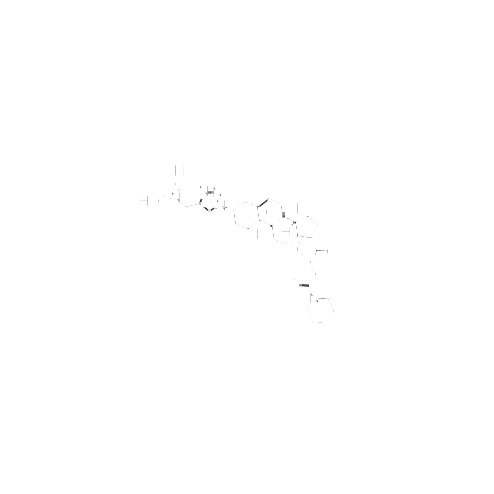 CC(CCC(=O)N1CCOCC1)[C@H]1CC[C@H]2[C@@H]3CC=C4C[C@H](n5cc(CN(C)C)nn5)CC[C@]4(C)[C@H]3CC[C@]12C